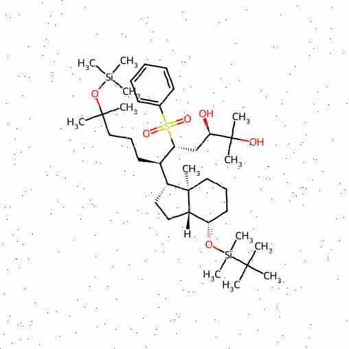 CC(C)(CCC[C@H]([C@H]1CC[C@H]2[C@@H](O[Si](C)(C)C(C)(C)C)CCC[C@]12C)[C@@H](C[C@@H](O)C(C)(C)O)S(=O)(=O)c1ccccc1)O[Si](C)(C)C